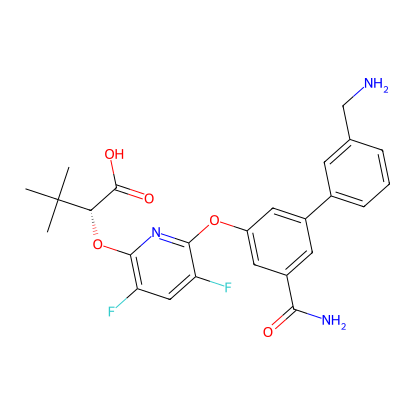 CC(C)(C)[C@@H](Oc1nc(Oc2cc(C(N)=O)cc(-c3cccc(CN)c3)c2)c(F)cc1F)C(=O)O